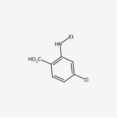 CCNc1cc(Cl)ccc1C(=O)O